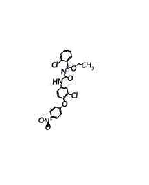 CCO/C(=N\C(=O)Nc1ccc(Oc2ccc([N+](=O)[O-])cc2)c(Cl)c1)c1ccccc1Cl